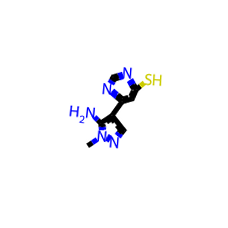 Cn1ncc(-c2cc(S)ncn2)c1N